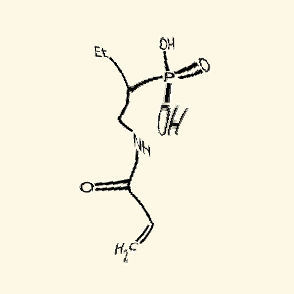 C=CC(=O)NCC(CC)P(=O)(O)O